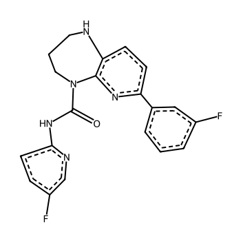 O=C(Nc1ccc(F)cn1)N1CCCNc2ccc(-c3cccc(F)c3)nc21